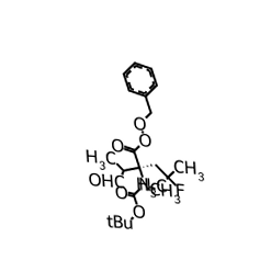 CC(C=O)[C@@](CC(C)(C)F)(C(=O)OOCc1ccccc1)N(C)C(=O)OC(C)(C)C